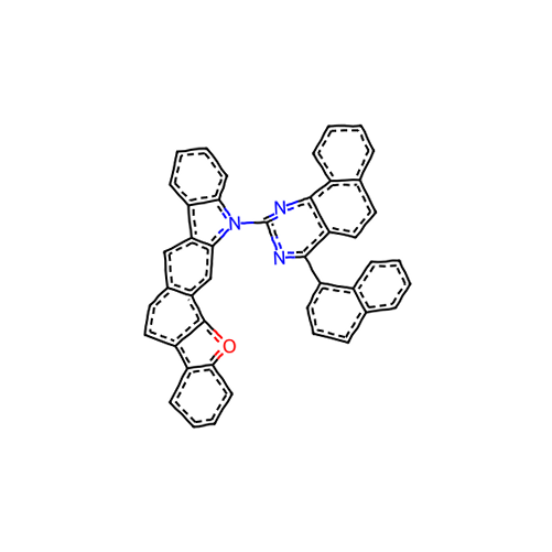 c1ccc2c(-c3nc(-n4c5ccccc5c5cc6ccc7c8ccccc8oc7c6cc54)nc4c3ccc3ccccc34)cccc2c1